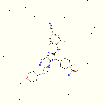 CC1(C(N)=O)CCC(n2c(Nc3c(F)cc(C#N)cc3F)nc3cnc(NC4CCOCC4)nc32)CC1